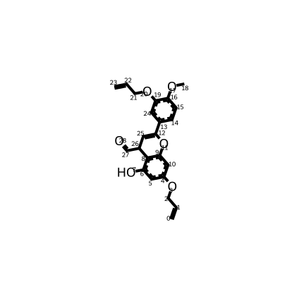 C=CCOc1cc(O)c2c(c1)OC(c1ccc(OC)c(OCC=C)c1)=CC2C=O